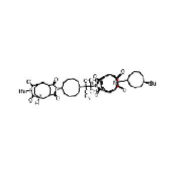 CC(C)(C)C1CCCCC(n2c(=O)c3ccc(cc4ccc(c3)c(=O)n(C(C)(C)C(C)(C)C3CCCCC(N5C(=O)C6CC(C[C@H]7CCC(C6)C(=O)N(C(C)(C)C)C7=O)C5=O)CCCC3)c4=O)c2=O)CCC1